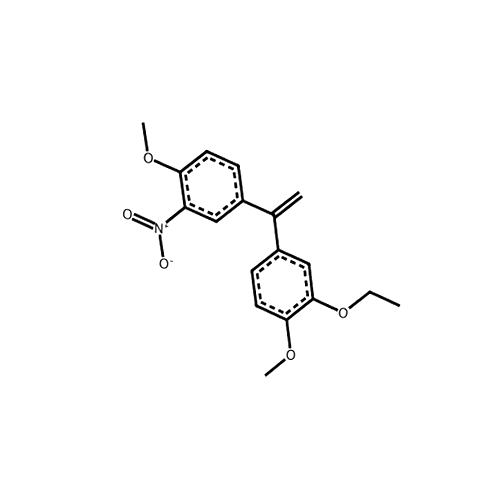 C=C(c1ccc(OC)c(OCC)c1)c1ccc(OC)c([N+](=O)[O-])c1